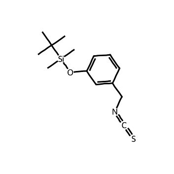 CC(C)(C)[Si](C)(C)Oc1cccc(CN=C=S)c1